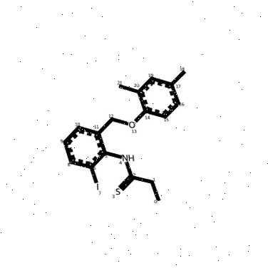 CCC(=S)Nc1c(I)cccc1COc1ccc(C)cc1C